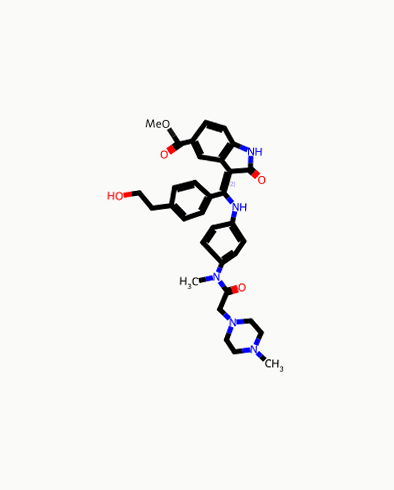 COC(=O)c1ccc2c(c1)/C(=C(/Nc1ccc(N(C)C(=O)CN3CCN(C)CC3)cc1)c1ccc(CCO)cc1)C(=O)N2